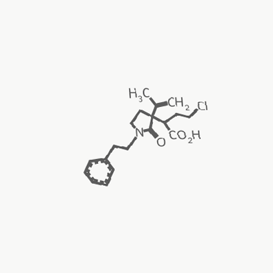 C=C(C)C1(C(CCCl)C(=O)O)CCN(CCc2ccccc2)C1=O